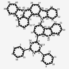 c1ccc(-c2nc(-c3ccccc3)nc(-c3ccc(-n4c5ccccc5c5ccc6c(c7cccc8c9ccccc9n6c87)c54)c4c3sc3ccccc34)n2)cc1